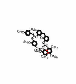 COc1ccc(OP(Oc2ccc(OC)cc2OC)Oc2cccc3c2Oc2c(cccc2OP(Oc2ccc(C=O)cc2OC)Oc2ccc(C=O)cc2OC)C3)c(OC)c1